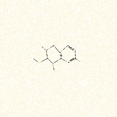 CCCC1c2cc(OC)ccc2CC(CC)C1NC(C)C